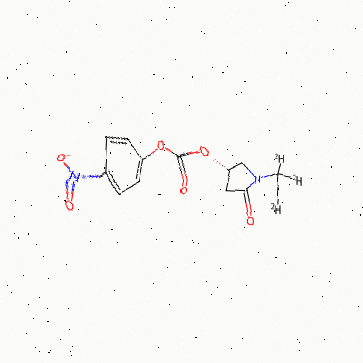 [2H]C([2H])([2H])N1C[C@@H](OC(=O)Oc2ccc([N+](=O)[O-])cc2)CC1=O